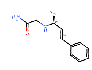 [2H][C@@H](/C=C/c1ccccc1)NCC(N)=O